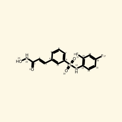 O=C(/C=C/c1cccc(S(=O)(=O)Nc2ccc(F)cc2F)c1)NO